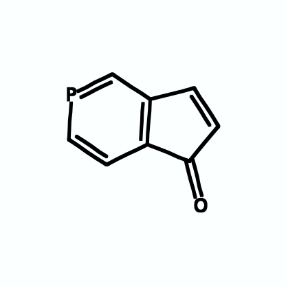 O=C1C=Cc2cpccc21